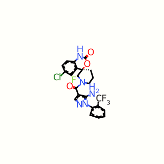 Nc1c(C(=O)N2CCC[C@@]3(C2)OC(=O)Nc2ccc(Cl)c(F)c23)cnn1-c1ccccc1C(F)(F)F